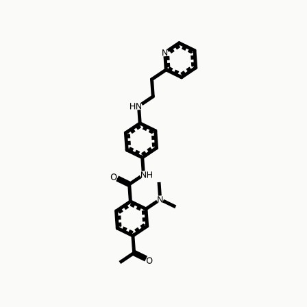 CC(=O)c1ccc(C(=O)Nc2ccc(NCCc3ccccn3)cc2)c(N(C)C)c1